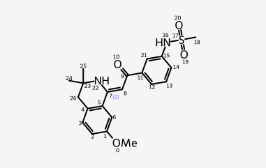 COc1ccc2c(c1)/C(=C/C(=O)c1cccc(NS(C)(=O)=O)c1)NC(C)(C)C2